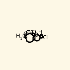 C[C@@H]1C(=O)N(C)C/C=C/CCCCN2CCCCc3cc(Cl)ccc3COc3ccc(cc32)[C@@H]1C(=O)O